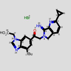 Br.CC(C)(C)c1cc(C(=O)CN2Cc3ccc(C4CC4)nc3C2=N)cc2c1ncn2CC(=O)O